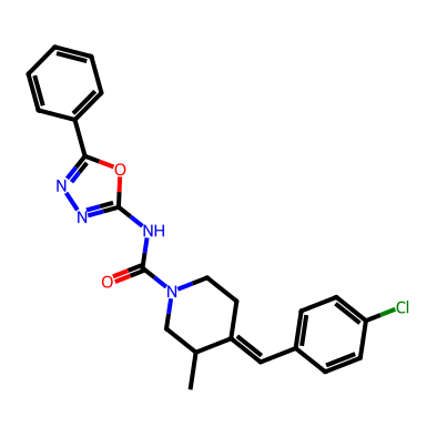 CC1CN(C(=O)Nc2nnc(-c3ccccc3)o2)CCC1=Cc1ccc(Cl)cc1